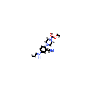 CCCNc1ccc(N2CCN(C(=O)OCC)CC2)c(C#N)c1